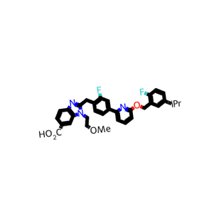 COCCn1c(Cc2ccc(-c3cccc(OCc4cc(C(C)C)ccc4F)n3)cc2F)nc2ccc(C(=O)O)cc21